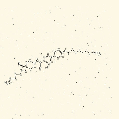 CCCCCCCCCOc1ccc(-c2ccc(C(=O)OC3CCC(C#N)(CCCCCCC)CC3)c(F)c2)cc1